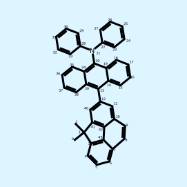 CC1(C)c2cccc3ccc4cc(-c5c6ccccc6c(N(c6ccccc6)c6ccccc6)c6ccccc56)cc1c4c23